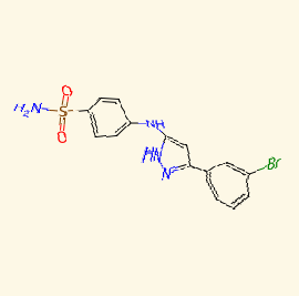 NS(=O)(=O)c1ccc(Nc2cc(-c3cccc(Br)c3)n[nH]2)cc1